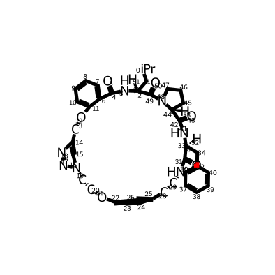 CC(C)C[C@H]1NC(=O)c2ccccc2OCc2cn(nn2)CCOc2ccc(cc2)CCNC(=O)[C@H](Cc2ccccc2)NC(=O)[C@H]2CCCN2C1=O